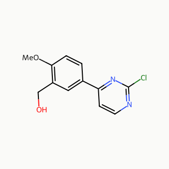 COc1ccc(-c2ccnc(Cl)n2)cc1CO